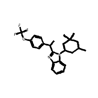 CC1CC(n2c(C(C)c3ccc(OC(F)(F)F)cc3)nc3ccccc32)CC(C)(C)C1